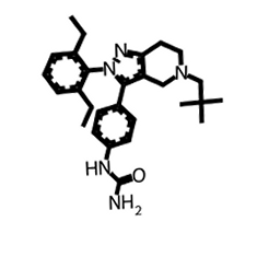 CCc1cccc(CC)c1-n1nc2c(c1-c1ccc(NC(N)=O)cc1)CN(CC(C)(C)C)CC2